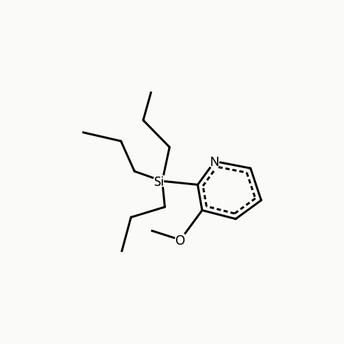 CCC[Si](CCC)(CCC)c1ncccc1OC